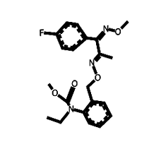 CCN(C(=O)OC)c1ccccc1CO/N=C(C)/C(=N\OC)c1ccc(F)cc1